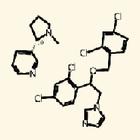 CN1CCC[C@H]1c1cccnc1.Clc1ccc(COC(Cn2ccnc2)c2ccc(Cl)cc2Cl)c(Cl)c1